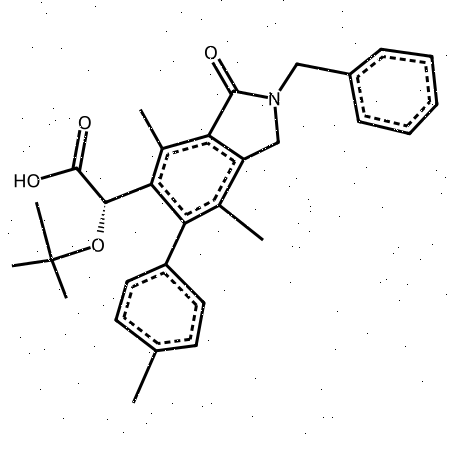 Cc1ccc(-c2c(C)c3c(c(C)c2[C@H](OC(C)(C)C)C(=O)O)C(=O)N(Cc2ccccc2)C3)cc1